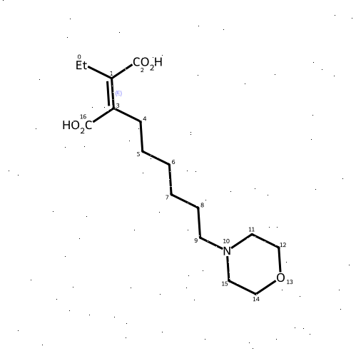 CC/C(C(=O)O)=C(/CCCCCCN1CCOCC1)C(=O)O